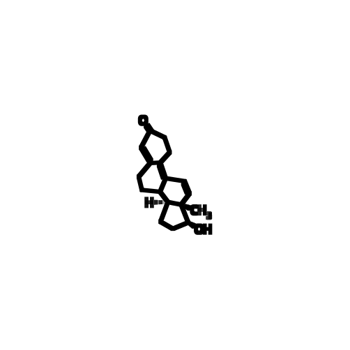 C[C@]12C=CC3=C4CCC(=O)C=C4CCC3[C@@H]1CC[C@@H]2O